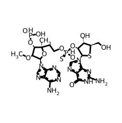 CO[C@H]1[C@H](n2cnc3c(N)ncnc32)O[C@](C)(CCOP(O)(=S)O[C@@H]2[C@H](O)[C@@H](CO)S[C@H]2n2cnc3c(=O)[nH]c(N)nc32)[C@H]1O[PH](=O)O